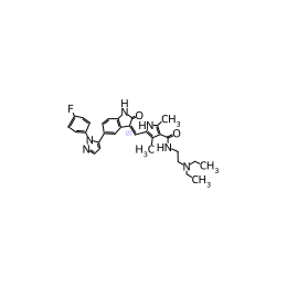 CCN(CC)CCNC(=O)c1c(C)[nH]c(/C=C2\C(=O)Nc3ccc(-c4ccnn4-c4ccc(F)cc4)cc32)c1C